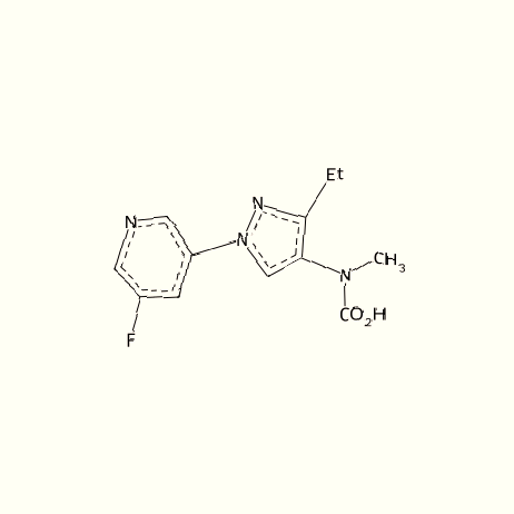 CCc1nn(-c2cncc(F)c2)cc1N(C)C(=O)O